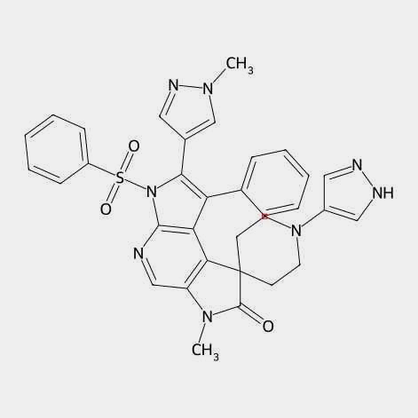 CN1C(=O)C2(CCN(c3cn[nH]c3)CC2)c2c1cnc1c2c(-c2ccccc2)c(-c2cnn(C)c2)n1S(=O)(=O)c1ccccc1